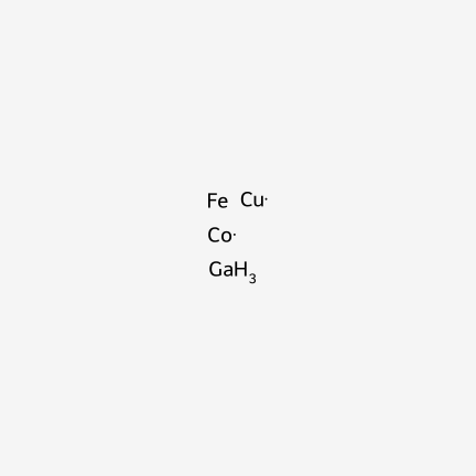 [Co].[Cu].[Fe].[GaH3]